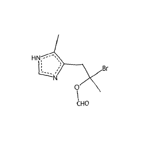 Cc1[nH]cnc1CC(C)(Br)OC=O